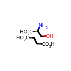 N[C@@H](CO)C(=O)O.O=C(O)CCC(=O)O